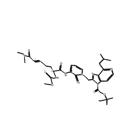 COC(=O)N[C@@H](CC/C=C/C(=O)N(C)C)C(=O)Nc1cccn(Cc2nc3c(CC(C)C)nccc3n2C(=O)OC(C)(C)C)c1=O